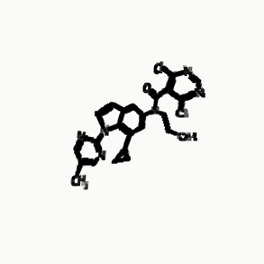 Cc1cnc(-n2ccc3cc(N(CCO)C(=O)c4c(Cl)ncnc4Cl)cc(C4CC4)c32)nc1